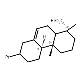 CCOC(=O)[C@]1(C)CCC[C@@]2(C)C1CC=C1CC(C(C)C)CC[C@@H]12